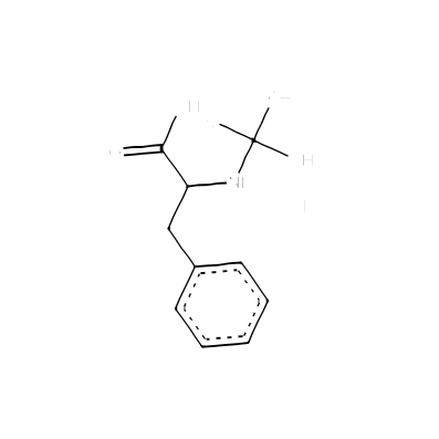 CC(C)(C)NC(Cc1ccccc1)C(=O)O.Cl